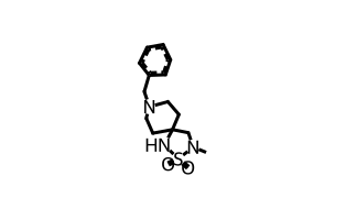 CN1CC2(CCN(Cc3ccccc3)CC2)NS1(=O)=O